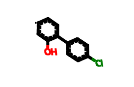 Oc1c[c]ccc1-c1ccc(Cl)cc1